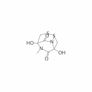 CN1C(=O)C2(O)CSSCC1(O)C(=O)N2C